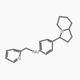 c1ccc(CNc2ccc(C3CCC4CCCCN43)cc2)nc1